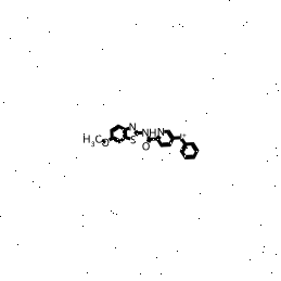 COc1ccc2nc(NC(=O)c3ccc([I+]c4ccccc4)cn3)sc2c1